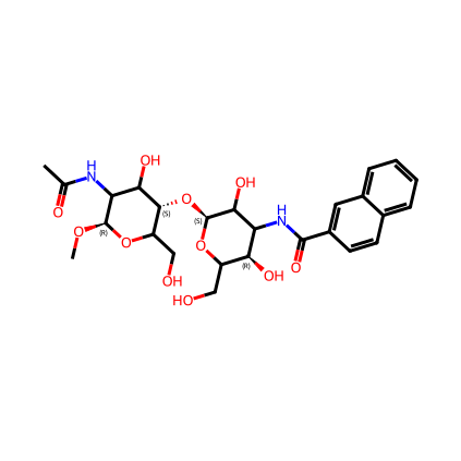 CO[C@@H]1OC(CO)[C@@H](O[C@@H]2OC(CO)[C@H](O)C(NC(=O)c3ccc4ccccc4c3)C2O)C(O)C1NC(C)=O